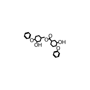 O=C(OCC1CCC(Oc2ccccc2)C(O)C1)C1CCC(Oc2ccccc2)C(O)C1